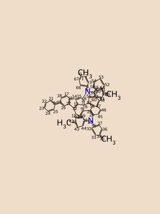 Cc1ccc(N(C2=CC34C(=CCC5=C3C(=C2)c2ccc(-c3ccccc3)cc25)c2c(N(c3ccc(C)cc3)c3ccc(C)cc3)ccc3cc(-c5ccccc5)cc4c23)c2ccc(C)cc2)cc1